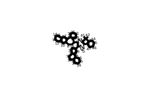 CN1C2=C(N=C(C3CCc4cc5ccccc5cc4-c4ccccc43)C1c1ccc3ccc4ccccc4c3c1)C(C)(C)c1ccccc12